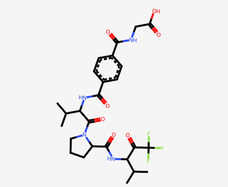 CC(C)C(NC(=O)c1ccc(C(=O)NCC(=O)O)cc1)C(=O)N1CCCC1C(=O)NC(C(=O)C(F)(F)F)C(C)C